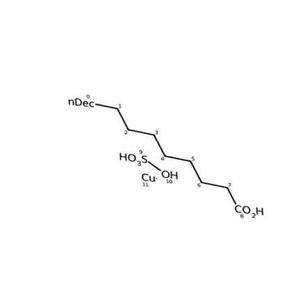 CCCCCCCCCCCCCCCCCC(=O)O.O=S(=O)(O)O.[Cu]